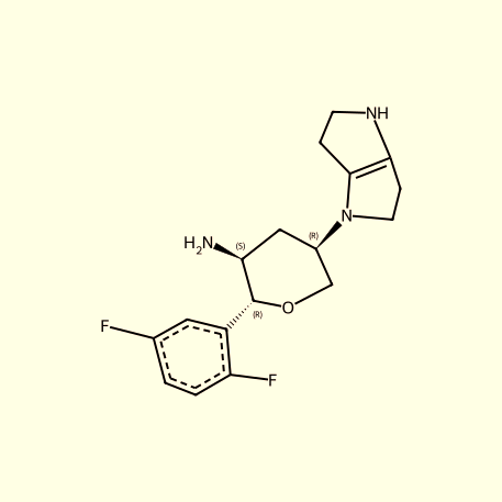 N[C@H]1C[C@@H](N2CCC3=C2CCN3)CO[C@@H]1c1cc(F)ccc1F